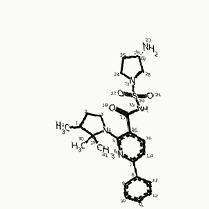 CC1CCN(c2nc(-c3ccccc3)ccc2C(=O)NS(=O)(=O)N2CC[C@H](N)C2)C1(C)C